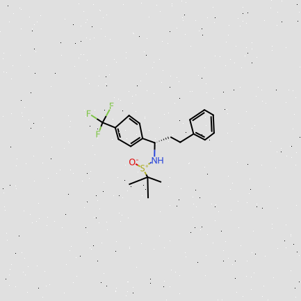 CC(C)(C)[S+]([O-])N[C@@H](CCc1ccccc1)c1ccc(C(F)(F)F)cc1